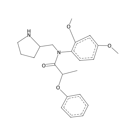 COc1ccc(N(CC2CCCN2)C(=O)C(C)Oc2ccccc2)c(OC)c1